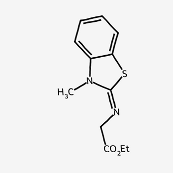 CCOC(=O)CN=c1sc2ccccc2n1C